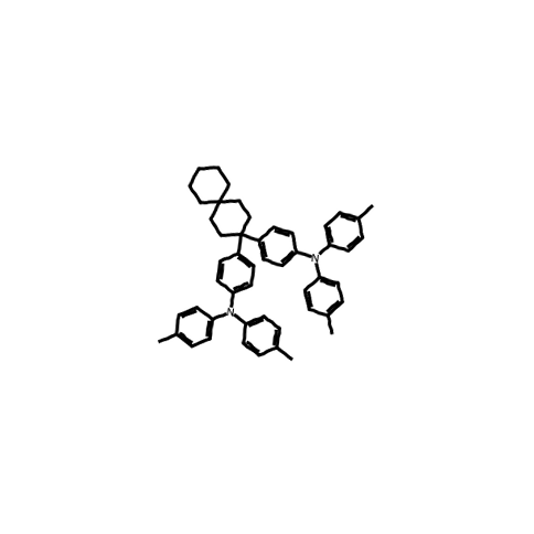 Cc1ccc(N(c2ccc(C)cc2)c2ccc(C3(c4ccc(N(c5ccc(C)cc5)c5ccc(C)cc5)cc4)CCC4(CCCCC4)CC3)cc2)cc1